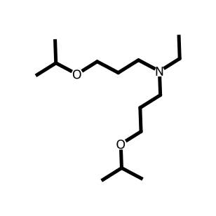 CCN(CCCOC(C)C)CCCOC(C)C